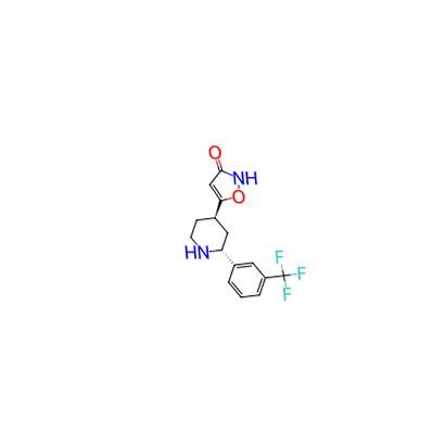 O=c1cc([C@@H]2CCN[C@@H](c3cccc(C(F)(F)F)c3)C2)o[nH]1